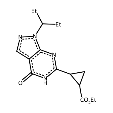 CCOC(=O)C1CC1c1nc2c(cnn2C(CC)CC)c(=O)[nH]1